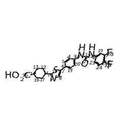 O=C(Nc1ccc(-c2cnc(C3CCC(C(=O)O)CC3)s2)cc1)Nc1ccc(F)c(F)c1